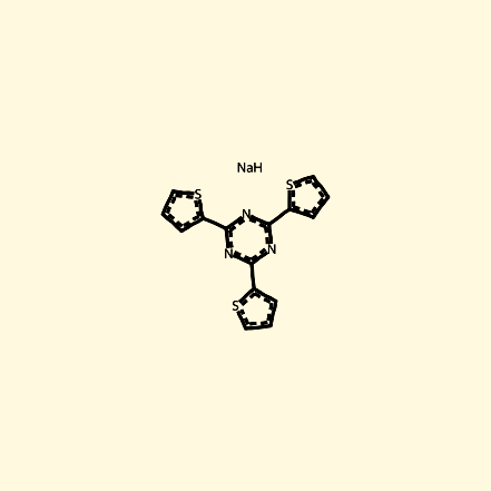 [NaH].c1csc(-c2nc(-c3cccs3)nc(-c3cccs3)n2)c1